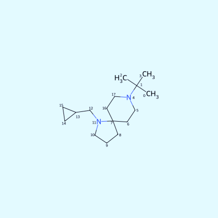 CC(C)(C)N1CCC2(CCCN2CC2CC2)CC1